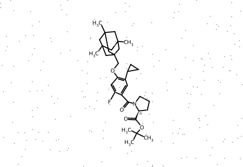 CC12CC3(C)CC(C)(C1)CC(COc1cc(F)c(C(=O)N4CCC[C@H]4C(=O)OC(C)(C)C)cc1C1CC1)(C2)C3